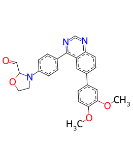 COc1ccc(-c2ccc3ncnc(-c4ccc(N5CCOC5C=O)cc4)c3c2)cc1OC